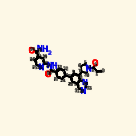 C=CC(=O)N1CCC(c2cc(-c3ccc(C(=O)Nc4cc(C(N)=O)ccn4)cc3)cc3cncnc23)C1